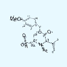 C=C(C)C(C(=O)OCc1ccc(OC)cc1)N(C(C)=O)C(C)S[SH](=O)=O